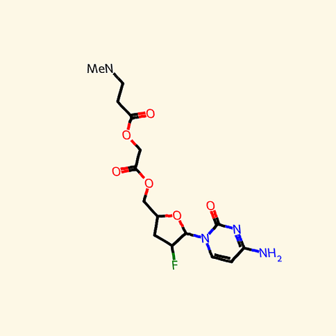 CNCCC(=O)OCC(=O)OCC1CC(F)C(n2ccc(N)nc2=O)O1